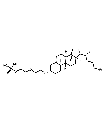 CC(C)CCC[C@@H](C)[C@H]1CC[C@H]2[C@@H]3CC=C4C[C@@H](OCCOCCOP(=O)(O)O)CC[C@]4(C)[C@H]3CC[C@]12C